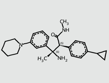 CNC(=O)[C@@H](c1ccc(C2CC2)cc1)[C@](C)(N)c1cccc(N2CCCCC2)c1